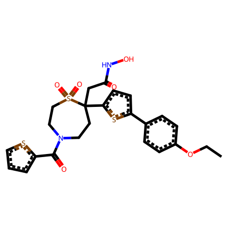 CCOc1ccc(-c2ccc(C3(CC(=O)NO)CCN(C(=O)c4cccs4)CCS3(=O)=O)s2)cc1